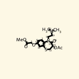 COC(=O)COc1ccc2c(c1)SC[C@@H](OC(C)=O)C(=O)N2CCN(C)C